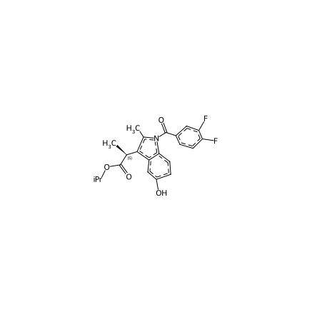 Cc1c([C@H](C)C(=O)OC(C)C)c2cc(O)ccc2n1C(=O)c1ccc(F)c(F)c1